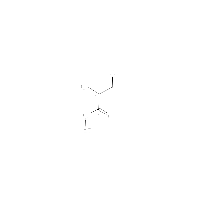 CCOC(=O)C(Cl)C[O]